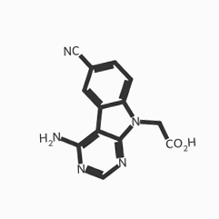 N#Cc1ccc2c(c1)c1c(N)ncnc1n2CC(=O)O